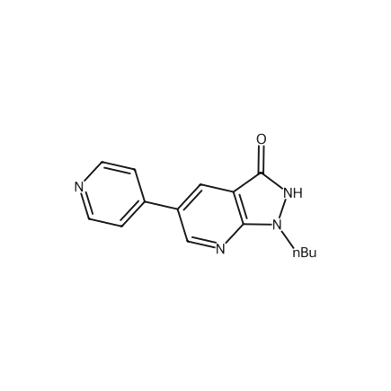 CCCCn1[nH]c(=O)c2cc(-c3ccncc3)cnc21